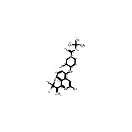 C=C(c1nc(Cl)cc2c(NC3CCN(C(=O)OC(C)(C)C)CC3F)cccc12)C(F)(F)F